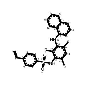 C=Cc1ccc(S(=O)(=O)Nc2c(C)cc(C)c(Nc3cccc4ccccc34)c2C)cc1